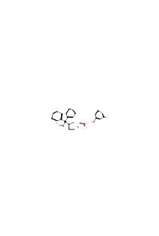 C[N+]1(CC(=O)OCc2cc(F)cc(F)c2)CCC(C(C(N)=O)(c2ccccc2)c2ccccc2)C1